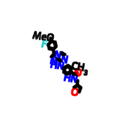 COC1C=CC(c2cnc3c(Nc4ccc(C(=O)NCC5CCOC5)c(C)c4)nccn23)=CC1F